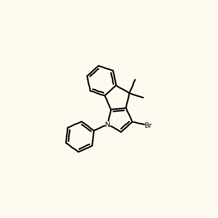 CC1(C)c2ccccc2-c2c1c(Br)cn2-c1ccccc1